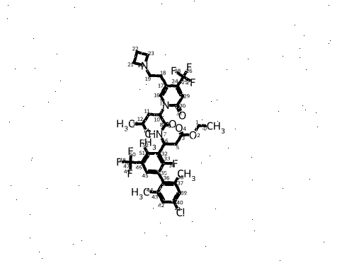 CCOC(=O)CC(NC(=O)C(CC(C)C)n1cc(CCN2CCC2)c(C(F)(F)F)cc1=O)c1c(F)c(-c2c(C)cc(Cl)cc2C)cc(C(F)(F)F)c1F